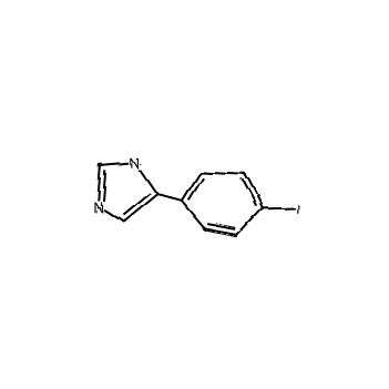 Ic1ccc(C2=CN=C[N]2)cc1